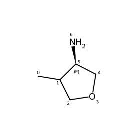 CC1COC[C@@H]1N